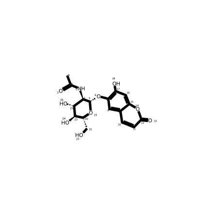 CC(=O)N[C@H]1[C@H](Oc2cc3ccc(=O)oc3cc2O)O[C@H](CO)[C@@H](O)[C@@H]1O